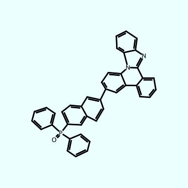 O=P(c1ccccc1)(c1ccccc1)c1ccc2cc(-c3ccc4c(c3)c3ccccc3c3nc5ccccc5n43)ccc2c1